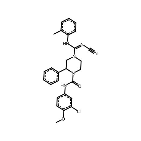 COc1ccc(NC(=O)N2CCN(/C(=N\C#N)Nc3ccccc3C)CC2c2ccccc2)cc1Cl